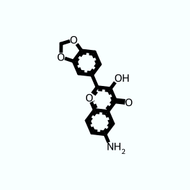 Nc1ccc2oc(-c3ccc4c(c3)OCO4)c(O)c(=O)c2c1